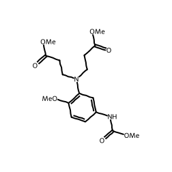 COC(=O)CCN(CCC(=O)OC)c1cc(NC(=O)OC)ccc1OC